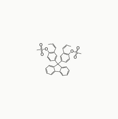 C/C=C\c1cc(C2(c3ccc(OS(C)(=O)=O)c(/C=C\C)c3)c3ccccc3-c3ccccc32)ccc1OS(C)(=O)=O